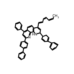 C\C=C/C=C\C=C\C1=CC(C2C=CC(c3ccccc3)=CC2)Nc2c1ccc1c(-c3ccccc3)cc(-c3ccc(-c4ccccc4)cc3)nc21